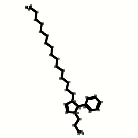 CCCCCCCCCCCCCCCCN1C=CN(CCC)C1c1ccccc1